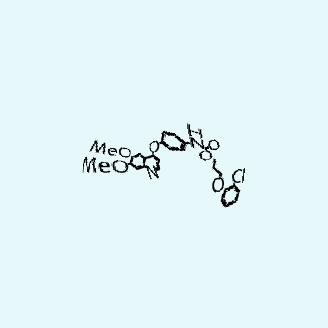 COc1cc2nccc(Oc3ccc(NC(=O)OCCCOc4ccccc4Cl)cc3)c2cc1OC